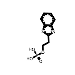 O=P(O)(O)OCCc1nc2ccccc2s1